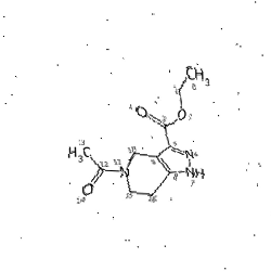 CCOC(=O)c1n[nH]c2c1CN(C(C)=O)CC2